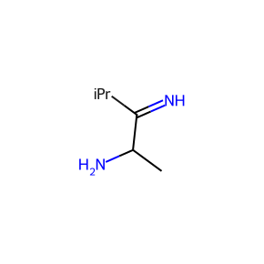 CC(C)C(=N)C(C)N